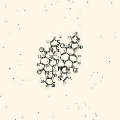 O=c1c2cc(-c3cc4c5c(ccc6c(=O)n7c8ccsc8nc7c3c65)c(=O)n3c5ccsc5nc43)c3c4c(ccc(c24)c2nc4sccc4n12)c(=O)n1c2ccsc2nc31